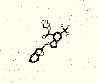 CCOC(=O)c1cc(C(F)(F)F)cc2ccn(Cc3cc4ccccc4o3)c12